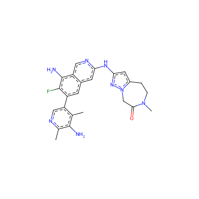 Cc1ncc(-c2cc3cc(Nc4cc5n(n4)CC(=O)N(C)CC5)ncc3c(N)c2F)c(C)c1N